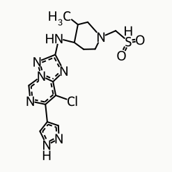 CC1CN(C[SH](=O)=O)CCC1Nc1nc2c(Cl)c(-c3cn[nH]c3)ncn2n1